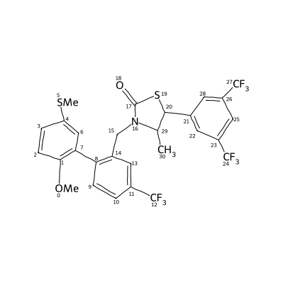 COc1ccc(SC)cc1-c1ccc(C(F)(F)F)cc1CN1C(=O)SC(c2cc(C(F)(F)F)cc(C(F)(F)F)c2)C1C